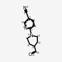 N#Cc1ccc(N2CCC(C=O)CC2)nc1